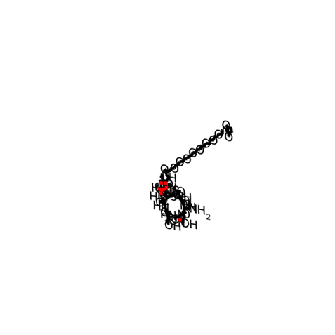 CC[C@H](C)[C@@H]1NC(=O)CNC(=O)[C@@H]2Cc3c([nH]c4c(CSC5CCN(C(=O)CCOCCOCCOCCOCCOCCOCCOCCOCCN6C(=O)C=CC6=O)CC5)c(OC)ccc34)[S+]([O-])C[C@H](NC(=O)CNC1=O)C(=O)N[C@@H](CC(N)=O)C(=O)N1C[C@H](O)C[C@H]1C(=O)N[C@@H]([C@@H](C)[C@@H](O)CO)C(=O)N2